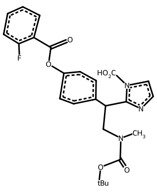 CN(CC(c1ccc(OC(=O)c2ccccc2F)cc1)c1nccn1C(=O)O)C(=O)OC(C)(C)C